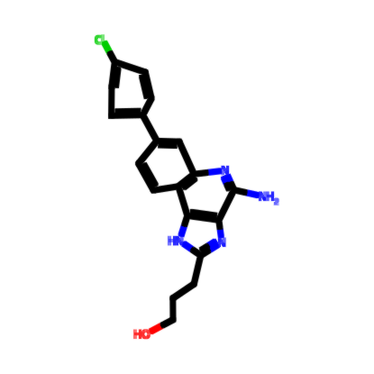 Nc1nc2cc(-c3ccc(Cl)cc3)ccc2c2[nH]c(CCCO)nc12